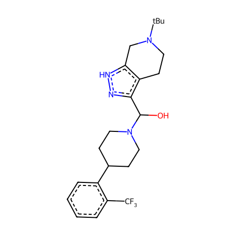 CC(C)(C)N1CCc2c(C(O)N3CCC(c4ccccc4C(F)(F)F)CC3)n[nH]c2C1